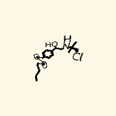 CCCCS(=O)(=O)c1ccc(C(O)CNC(C)(C)CCl)cc1